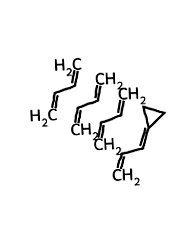 C=CC=C.C=CC=C.C=CC=C.C=CC=C1CC1